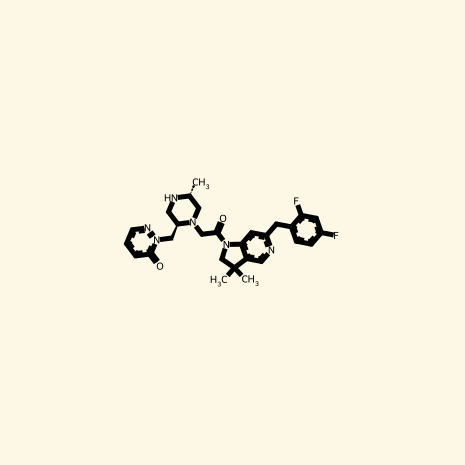 C[C@@H]1CN(CC(=O)N2CC(C)(C)c3cnc(Cc4ccc(F)cc4F)cc32)[C@@H](Cn2ncccc2=O)CN1